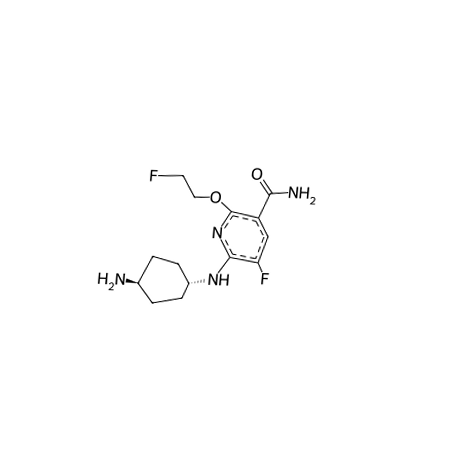 NC(=O)c1cc(F)c(N[C@H]2CC[C@H](N)CC2)nc1OCCF